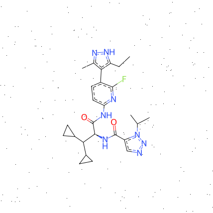 CCc1[nH]nc(C)c1-c1ccc(NC(=O)[C@@H](NC(=O)c2cnnn2C(C)C)C(C2CC2)C2CC2)nc1F